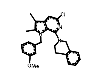 COc1cccc(Cn2c(C)c(C)c3cc(Cl)nc(N4CCc5ccccc5C4)c32)c1